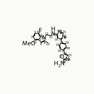 COc1ccc(F)c2c1cc(C)n2CCNc1cc(-c2ccc(-c3cnc(N)o3)cc2)ncn1